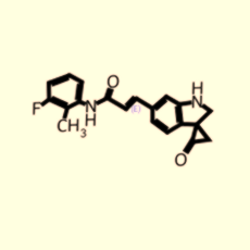 Cc1c(F)cccc1NC(=O)/C=C/c1ccc2c(c1)NCC21CC1=O